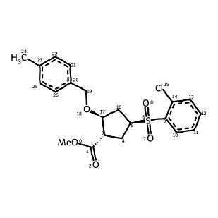 COC(=O)[C@H]1C[C@H](S(=O)(=O)c2ccccc2Cl)C[C@@H]1OCc1ccc(C)cc1